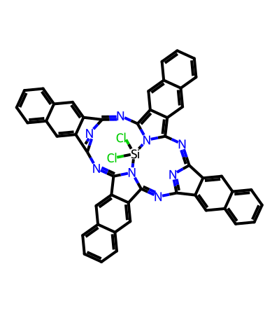 Cl[Si]1(Cl)n2c3c4cc5ccccc5cc4c2/N=C2N=C(/N=c4/c5cc6ccccc6cc5/c(n41)=N/C1=NC(=N\3)/c3cc4ccccc4cc31)c1cc3ccccc3cc1\2